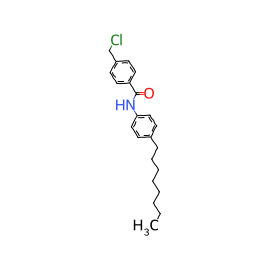 CCCCCCCCc1ccc(NC(=O)c2ccc(CCl)cc2)cc1